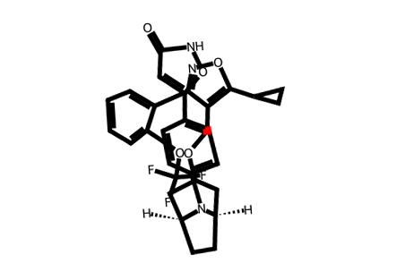 O=c1cc(-c2ccc(N3[C@@H]4CC[C@H]3CC(OCc3c(-c5ccccc5OC(F)(F)F)noc3C3CC3)C4)cc2)o[nH]1